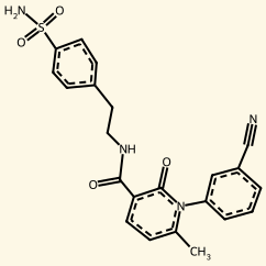 Cc1ccc(C(=O)NCCc2ccc(S(N)(=O)=O)cc2)c(=O)n1-c1cccc(C#N)c1